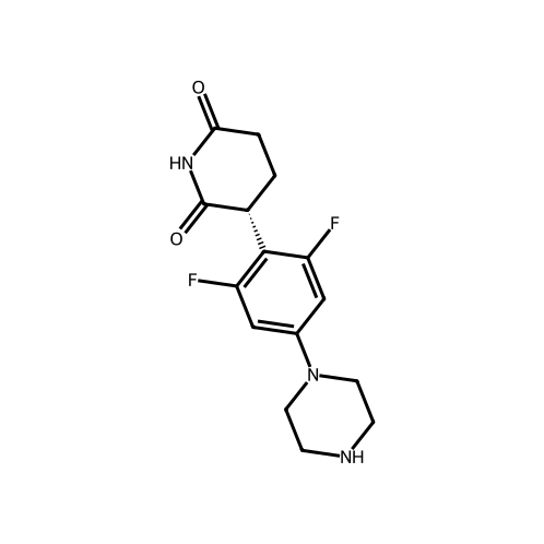 O=C1CC[C@H](c2c(F)cc(N3CCNCC3)cc2F)C(=O)N1